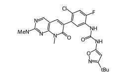 CNc1ncc2cc(-c3cc(NC(=O)Nc4cc(C(C)(C)C)no4)c(F)cc3Cl)c(=O)n(C)c2n1